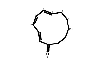 O=C1/C=C/C=C\C=C\CCCCC1